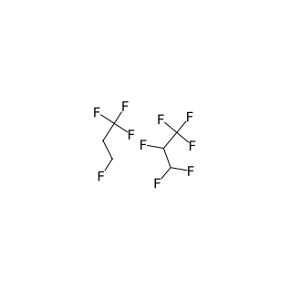 FC(F)C(F)C(F)(F)F.FCCC(F)(F)F